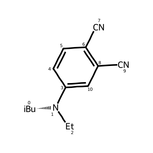 CC[C@@H](C)N(CC)c1ccc(C#N)c(C#N)c1